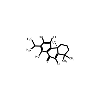 CC(C)c1c(O)c(O)c2c(c1O)C(=O)C(O)=C1C(C)(C)CCC[C@@]12C